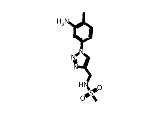 Cc1ccc(-n2cc(CNS(C)(=O)=O)nn2)cc1N